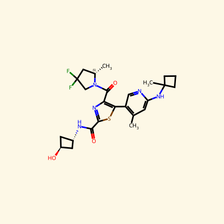 Cc1cc(NC2(C)CCC2)ncc1-c1sc(C(=O)N[C@H]2C[C@H](O)C2)nc1C(=O)N1CC(F)(F)C[C@@H]1C